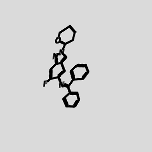 Fc1cc2nn(C3CCCCO3)cc2cc1N=C(c1ccccc1)c1ccccc1